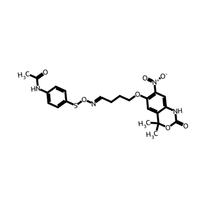 CC(=O)Nc1ccc(SON=CCCCOc2cc3c(cc2[N+](=O)[O-])NC(=O)OC3(C)C)cc1